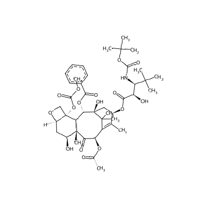 COC(=O)O[C@@]12CO[C@@H]1C[C@H](O)[C@@]1(C)C(=O)[C@H](OC(C)=O)C3=C(C)[C@H](OC(=O)[C@H](O)[C@@H](NC(=O)OC(C)(C)C)C(C)(C)C)C[C@@](O)([C@@H](OC(=O)c4ccccc4)C12)C3(C)C